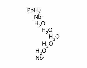 O.O.O.O.O.[Nb].[Nb].[PbH2]